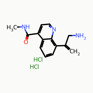 C=C(CN)c1cccc2c(C(=O)NC)ccnc12.Cl.Cl